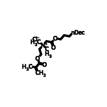 C=C(C)C(=O)OCC[N+](C)(C)CC(=O)OCCCCCCCCCCCCC.[Cl-]